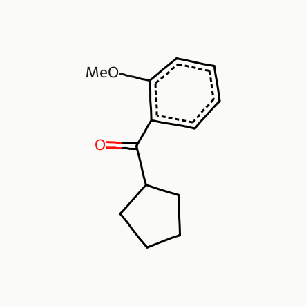 COc1ccccc1C(=O)C1CCCC1